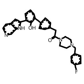 O=C(Cc1ccc(-c2cccc(-c3cc4ccncc4[nH]3)c2O)cc1)N1CCN(Cc2ccc(F)cc2)CC1